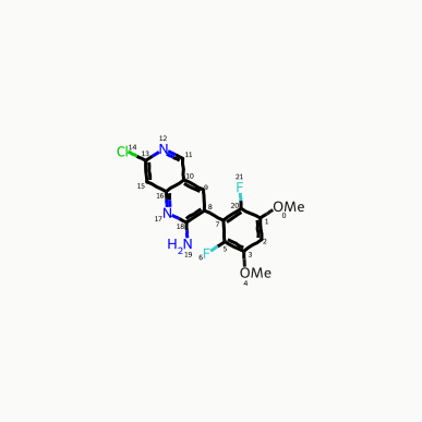 COc1cc(OC)c(F)c(-c2cc3cnc(Cl)cc3nc2N)c1F